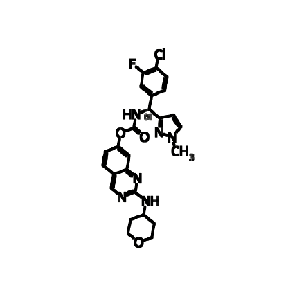 Cn1ccc([C@@H](NC(=O)Oc2ccc3cnc(NC4CCOCC4)nc3c2)c2ccc(Cl)c(F)c2)n1